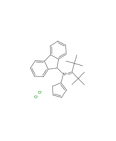 CC(C)(C)[C](=[Ti+2]([C]1=CC=CC1)[CH]1c2ccccc2-c2ccccc21)C(C)(C)C.[Cl-].[Cl-]